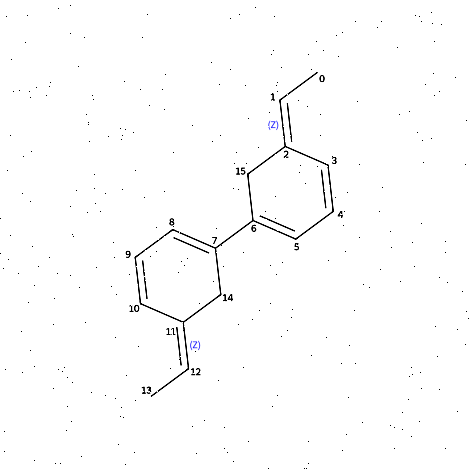 C/C=C1\C=CC=C(C2=CC=C/C(=C\C)C2)C1